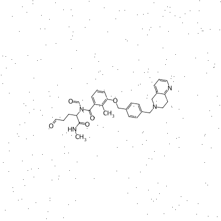 CNC(=O)C(CCC=O)N(C=O)C(=O)c1cccc(OCc2ccc(CN3CCc4ncccc4C3)cc2)c1C